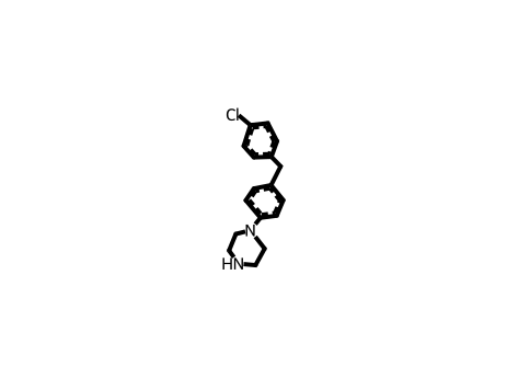 Clc1ccc(Cc2ccc(N3CCNCC3)cc2)cc1